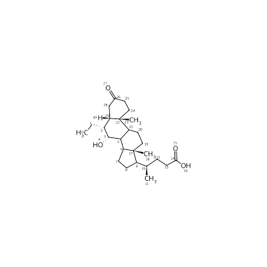 CC[C@H]1[C@@H](O)C2C3CCC([C@H](C)CCC(=O)O)[C@@]3(C)CCC2[C@@]2(C)CCC(=O)C[C@@H]12